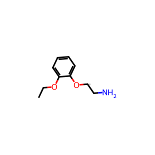 CCOc1ccccc1O[CH]CN